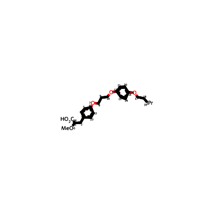 COC(Cc1ccc(OCCCOc2ccc(OCCC(C)C)cc2)cc1)C(=O)O